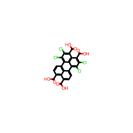 O=C(O)c1ccc2c3c(Cl)c(Cl)c(C(=O)O)c4c(C(=O)O)c(Cl)c(Cl)c(c5ccc(C(=O)O)c1c25)c43